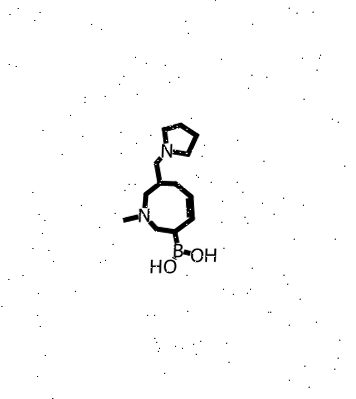 CN1CC(CN2CCCC2)C/C=C\C(B(O)O)C1